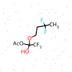 CC(=O)OC(O)(OCCC(C)(F)F)C(F)(F)F